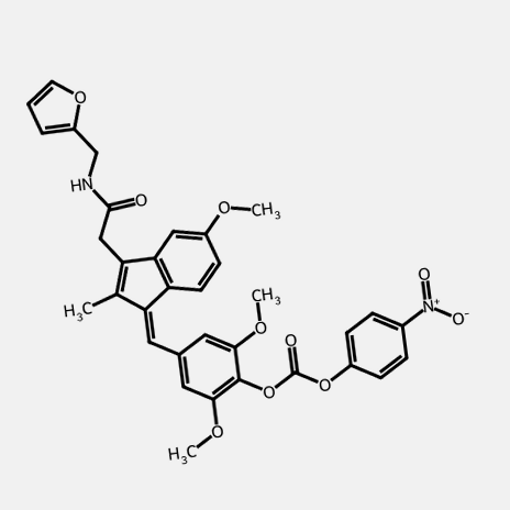 COc1ccc2c(c1)C(CC(=O)NCc1ccco1)=C(C)/C2=C/c1cc(OC)c(OC(=O)Oc2ccc([N+](=O)[O-])cc2)c(OC)c1